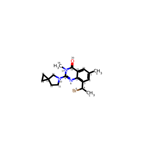 Cc1cc(C(C)Br)c2nc(N3CCC4(CC4)C3)n(C)c(=O)c2c1